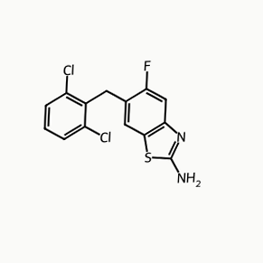 Nc1nc2cc(F)c(Cc3c(Cl)cccc3Cl)cc2s1